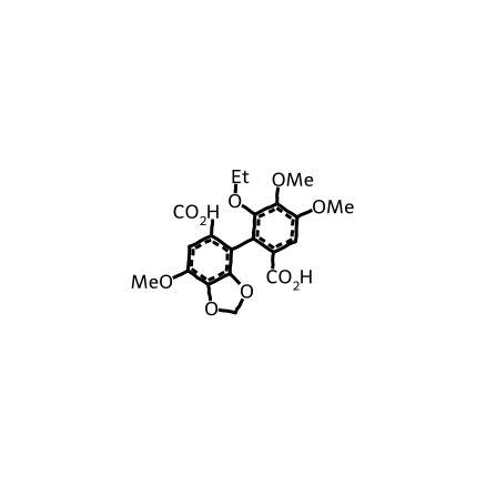 CCOc1c(OC)c(OC)cc(C(=O)O)c1-c1c(C(=O)O)cc(OC)c2c1OCO2